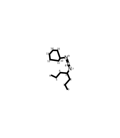 CCCC(CCC)N=C=NC1CCCCC1